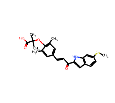 CSc1ccc2cc(C(=O)C=Cc3cc(C)c(OC(C)(C)C(=O)O)c(C)c3)[nH]c2c1